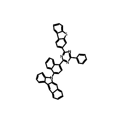 c1ccc(-c2nc(-c3ccc4c(c3)sc3ccccc34)nc(-c3ccc(-n4c5ccccc5c5cc6ccccc6cc54)c4ccccc34)n2)cc1